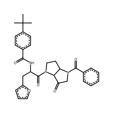 CC(C)(C)c1ccc(C(=O)NC(Cc2cccs2)C(=O)N2CCC3C2C(=O)CN3C(=O)c2ccccc2)cc1